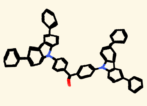 O=C(c1ccc(-n2c3ccc(-c4ccccc4)cc3c3cc(-c4ccccc4)ccc32)cc1)c1ccc(-n2c3ccc(-c4ccccc4)cc3c3cc(-c4ccccc4)ccc32)cc1